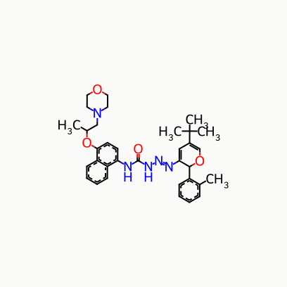 Cc1ccccc1C1OC=C(C(C)(C)C)C=C1N=NNC(=O)Nc1ccc(OC(C)CN2CCOCC2)c2ccccc12